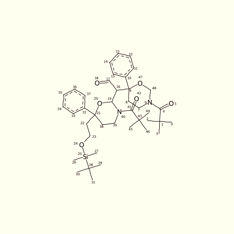 CC(C)(C)C(=O)N1CCC(c2ccccc2)(C(C=O)C2OC(CCO[Si](C)(C)C(C)(C)C)(c3ccccc3)CCN2C(=O)C(C)(C)C)OC1